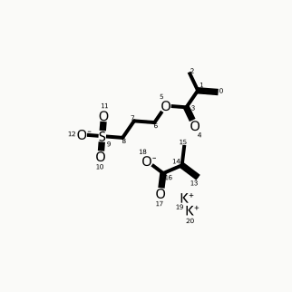 C=C(C)C(=O)OCCCS(=O)(=O)[O-].C=C(C)C(=O)[O-].[K+].[K+]